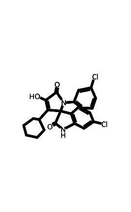 O=C1C(O)=C(C2CCCCC2)C2(C(=O)Nc3cc(Cl)ccc32)N1c1cccc(Cl)c1